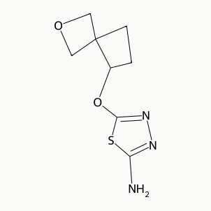 Nc1nnc(OC2CCC23COC3)s1